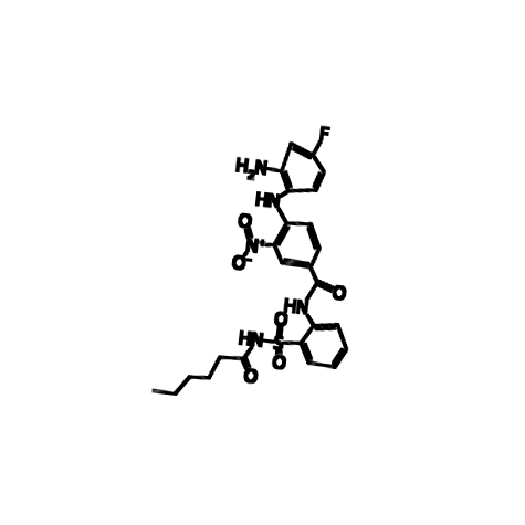 CCCCCC(=O)NS(=O)(=O)c1ccccc1NC(=O)c1ccc(Nc2ccc(F)cc2N)c([N+](=O)[O-])c1